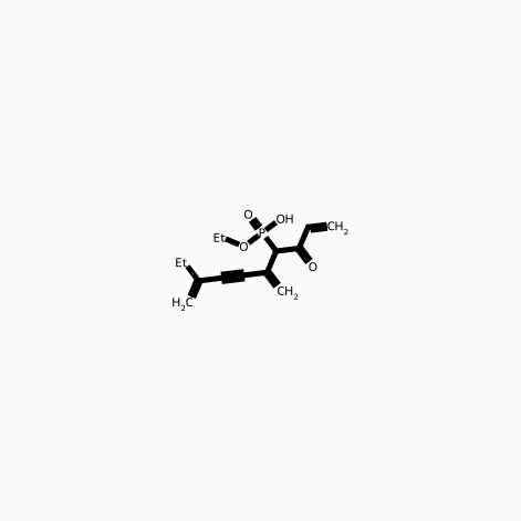 C=CC(=O)C(C(=C)C#CC(=C)CC)P(=O)(O)OCC